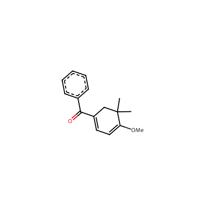 COC1=CC=C(C(=O)c2ccccc2)CC1(C)C